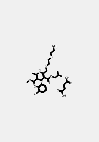 COC(=O)C1=C(C)NC(COCCOCCN)=C(C(=O)OCC(C)C)[C@@H]1c1cccc(Cl)c1Cl.O=C(O)C=CC(=O)O